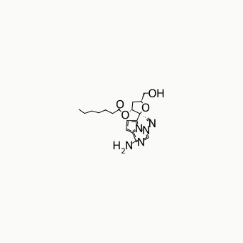 CCCCCCC(=O)O[C@@H]1C[C@@H](CO)O[C@@]1(C#N)c1ccc2c(N)ncnn12